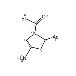 CCC(=O)N1CC(N)CC1C(C)=O